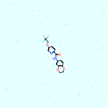 O=C(Nc1ccc2c(c1)OCCO2)c1ccc(OCC(F)(F)F)cn1